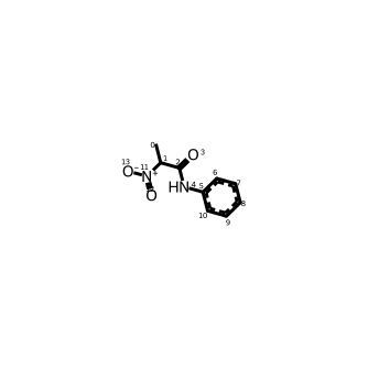 CC(C(=O)Nc1ccccc1)[N+](=O)[O-]